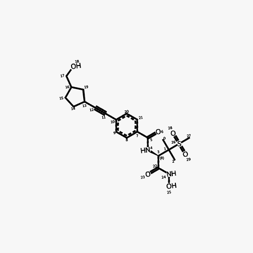 CC(C)([C@H](NC(=O)c1ccc(C#CC2CCC(CO)C2)cc1)C(=O)NO)S(C)(=O)=O